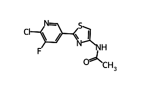 CC(=O)Nc1csc(-c2cnc(Cl)c(F)c2)n1